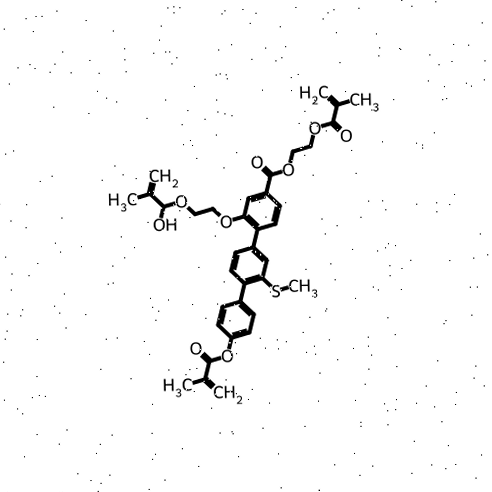 C=C(C)C(=O)OCCOC(=O)c1ccc(-c2ccc(-c3ccc(OC(=O)C(=C)C)cc3)c(SC)c2)c(OCCOC(O)C(=C)C)c1